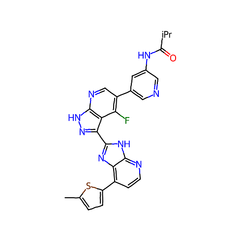 Cc1ccc(-c2ccnc3[nH]c(-c4n[nH]c5ncc(-c6cncc(NC(=O)C(C)C)c6)c(F)c45)nc23)s1